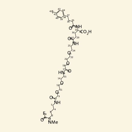 CN[C@@H](CCCCNC(=O)COCCOCCNC(=O)COCCOCCNC(=O)CCC(NC(=O)CCCc1ccc(I)cc1)C(=O)O)C(=O)F